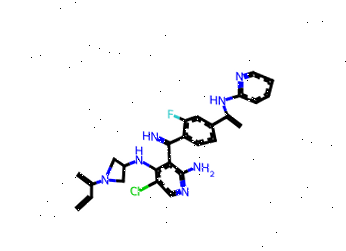 C=CC(=C)N1CC(Nc2c(Cl)cnc(N)c2C(=N)c2ccc(C(=C)Nc3ccccn3)cc2F)C1